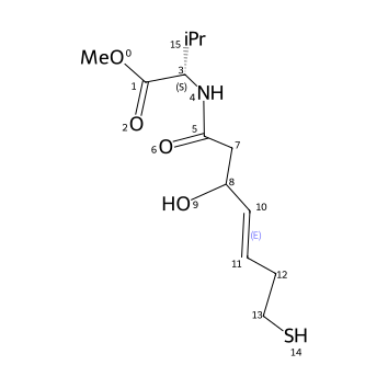 COC(=O)[C@@H](NC(=O)CC(O)/C=C/CCS)C(C)C